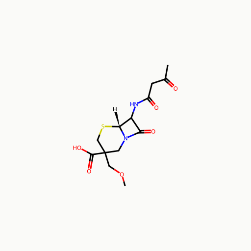 COCC1(C(=O)O)CS[C@@H]2C(NC(=O)CC(C)=O)C(=O)N2C1